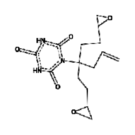 C=CCC(CCC1CO1)(CCC1CO1)n1c(=O)[nH]c(=O)[nH]c1=O